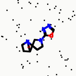 c1nnc(N2CCC3(C2)C2CCN3CC2)o1